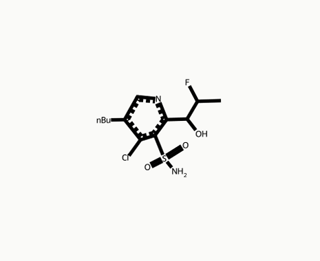 CCCCc1cnc(C(O)C(C)F)c(S(N)(=O)=O)c1Cl